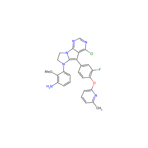 COc1c(N)cccc1N1CCn2c1c(-c1ccc(Oc3cccc(C)n3)c(F)c1)c1c(Cl)ncnc12